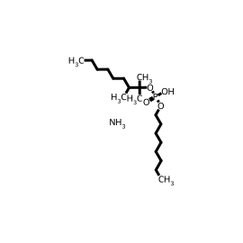 CCCCCCCCOP(=O)(O)OC(C)(C)C(C)CCCCCC.N